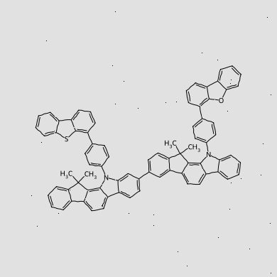 CC1(C)c2ccc(-c3ccc4c5ccc6c(c5n(-c5ccc(-c7cccc8c7sc7ccccc78)cc5)c4c3)C(C)(C)c3ccccc3-6)cc2-c2ccc3c4ccccc4n(-c4ccc(-c5cccc6c5oc5ccccc56)cc4)c3c21